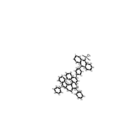 CP(C)(=O)c1c2ccccc2c(-c2ccc(-c3cc4nc(-c5ccccc5)c5ccc6c(c7ccccc7n6-c6ccccc6)c5c4c4ccccc34)cc2)c2ccccc12